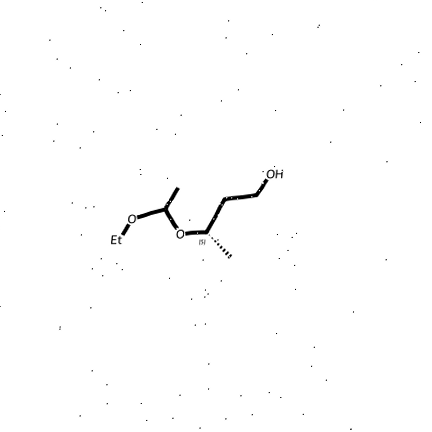 CCOC(C)O[C@@H](C)CCO